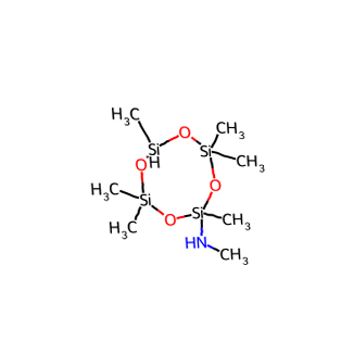 CN[Si]1(C)O[Si](C)(C)O[SiH](C)O[Si](C)(C)O1